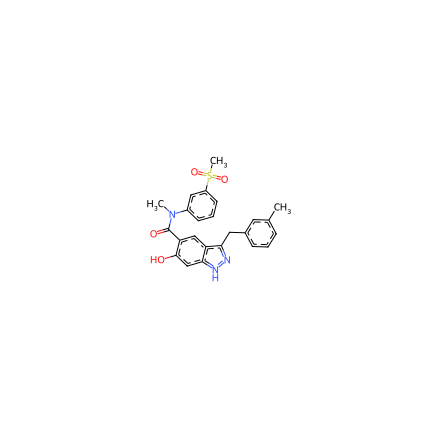 Cc1cccc(Cc2n[nH]c3cc(O)c(C(=O)N(C)c4cccc(S(C)(=O)=O)c4)cc23)c1